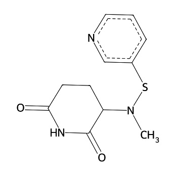 CN(Sc1cccnc1)C1CCC(=O)NC1=O